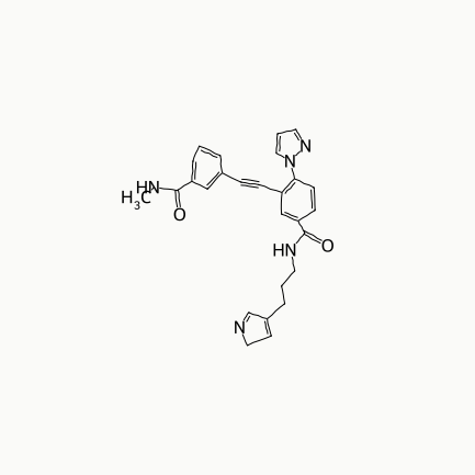 CNC(=O)c1cccc(C#Cc2cc(C(=O)NCCCC3=CCN=C3)ccc2-n2cccn2)c1